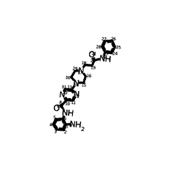 Nc1ccccc1NC(=O)c1cnc(N2CCN(CCC(=O)Nc3ccccc3)CC2)cn1